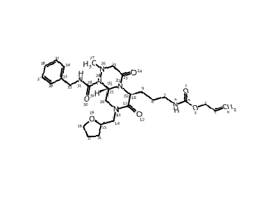 C=CCOC(=O)NCCC[C@H]1C(=O)N(CC2CCCO2)C[C@H]2N1C(=O)CN(C)N2C(=O)NCc1ccccc1